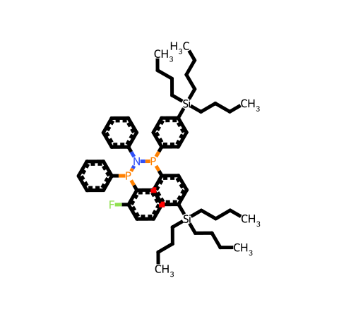 CCCC[Si](CCCC)(CCCC)c1ccc(P(c2ccc([Si](CCCC)(CCCC)CCCC)cc2)N(c2ccccc2)P(c2ccccc2)c2ccccc2F)cc1